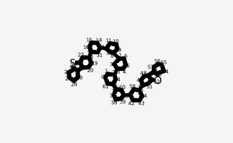 c1cc(-c2cccc(-c3cccc(-c4cccc(-c5ccc6c(c5)sc5ccccc56)c4)c3)c2)cc(-c2cccc(-c3cccc(-c4ccc5c(c4)oc4ccccc45)c3)c2)c1